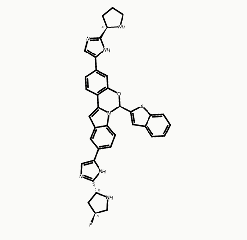 F[C@@H]1CN[C@@H](c2ncc(-c3ccc4c(c3)cc3n4C(c4cc5ccccc5s4)Oc4cc(-c5cnc([C@H]6CCCN6)[nH]5)ccc4-3)[nH]2)C1